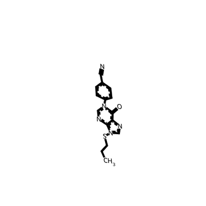 CCCSn1cnc2c(=O)n(-c3ccc(C#N)cc3)cnc21